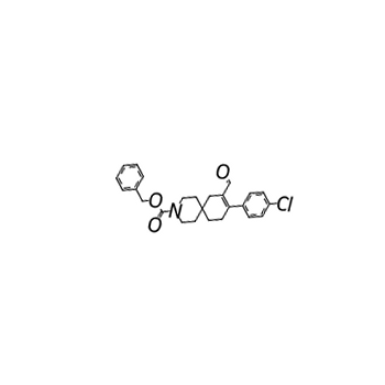 O=CC1=C(c2ccc(Cl)cc2)CCC2(CCN(C(=O)OCc3ccccc3)CC2)C1